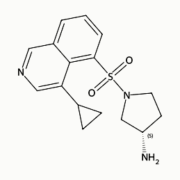 N[C@H]1CCN(S(=O)(=O)c2cccc3cncc(C4CC4)c23)C1